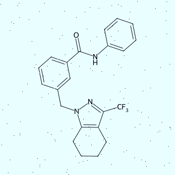 O=C(Nc1ccccc1)c1cccc(Cn2nc(C(F)(F)F)c3c2CCCC3)c1